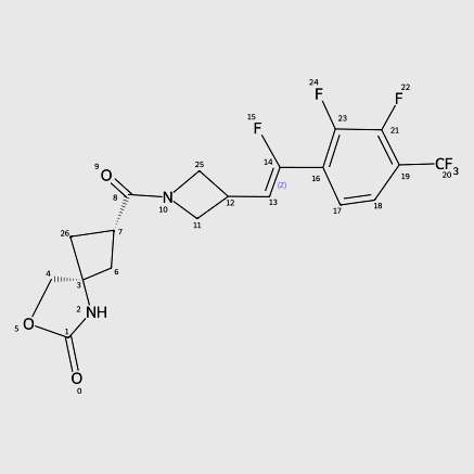 O=C1N[C@]2(CO1)C[C@@H](C(=O)N1CC(/C=C(\F)c3ccc(C(F)(F)F)c(F)c3F)C1)C2